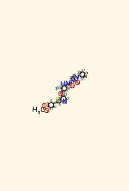 CS(=O)(=O)c1ccc(-c2cc3nccc(Oc4ccc(NC(=O)N5CCN(c6ccccc6)C5=O)cc4F)c3s2)cc1